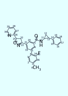 Cc1ccc(-c2cc(C(=O)NC3CC3c3ccccc3)cc(C3=NOC(c4ccccn4)C3)c2)c(F)c1